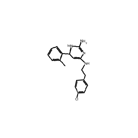 Cc1ccccc1C1C=C(NCCc2ccc(Cl)cc2)N=C(N)N1